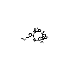 C/C1=C(/N=N)CS(=O)(=O)CCC(c2cccc(CCC(=O)O)c2)c2nc(n(C)n2)-c2cc(ccc2F)Oc2c(F)cc3[nH]ccc3c2CN1